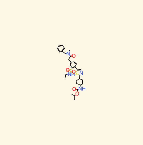 CCNS(=O)(=O)c1cc(CC(=O)N(C)Cc2ccccc2)ccc1-c1cnc(C2CCC(NC(=O)OC(C)C)CC2)s1